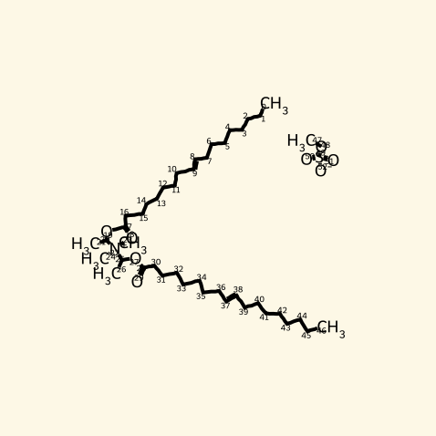 CCCCCCCCC=CCCCCCCCC(=O)OC(C)[N+](C)(C)C(C)OC(=O)CCCCCCCC=CCCCCCCCC.COS(=O)(=O)[O-]